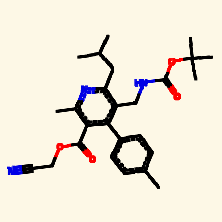 Cc1ccc(-c2c(CNC(=O)OC(C)(C)C)c(CC(C)C)nc(C)c2C(=O)OCC#N)cc1